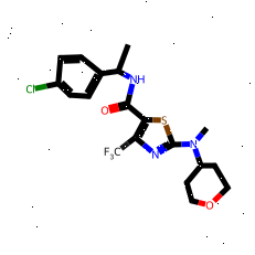 CC(NC(=O)c1sc(N(C)C2CCOCC2)nc1C(F)(F)F)c1ccc(Cl)cc1